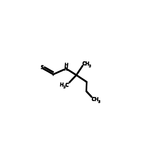 CCCC(C)(C)N[C]=S